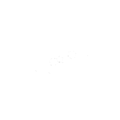 COc1cc(OC)c(-c2cn3ccc(C(N)CCN)cc3n2)cc1Cl